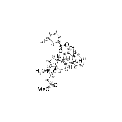 CC[C@H]1[C@@H](OC(=O)c2cccc(I)c2)[C@@H]2[C@H](CC[C@]3(C)C([C@H](C)CCC(=O)OC)=CC[C@@H]23)[C@@]2(C)CCCC[C@@H]12